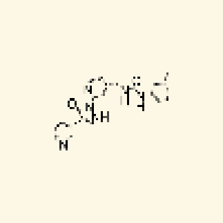 Cc1cccc(NC(=O)NCc2ccnc(-n3[nH]cc(-c4cccnc4)c3=O)c2)c1